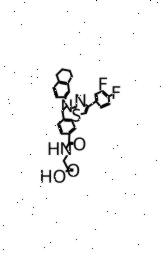 O=C(O)CCNC(=O)c1ccc(CN(c2ccc3c(c2)CCCC3)c2nc(-c3ccc(F)c(F)c3)cs2)cc1